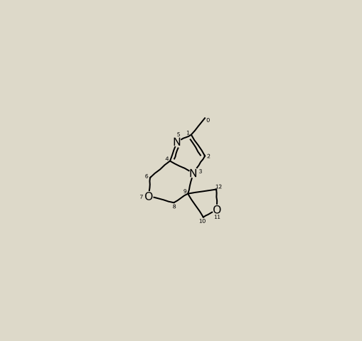 Cc1cn2c(n1)COCC21COC1